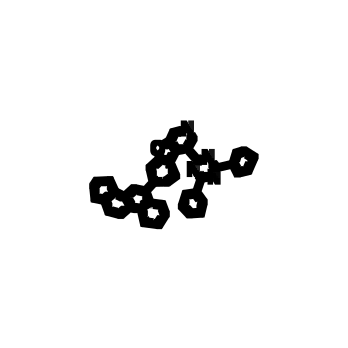 c1ccc(-c2nc(-c3ccccc3)nc(-c3cncc4oc5cc(-c6cc7c8ccccc8ccc7c7ccccc67)ccc5c34)n2)cc1